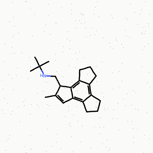 CC1=Cc2c3c(c4c(c2C1CNC(C)(C)C)CCC4)CCC3